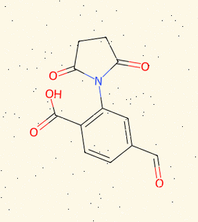 O=Cc1ccc(C(=O)O)c(N2C(=O)CCC2=O)c1